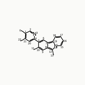 Cc1cnc(-c2cc3c(cc2C)c(C)n2ccccc32)cc1C